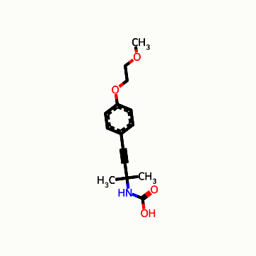 COCCOc1ccc(C#CC(C)(C)NC(=O)O)cc1